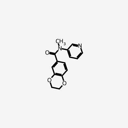 CN(C(=O)c1ccc2c(c1)OCCO2)c1cccnc1